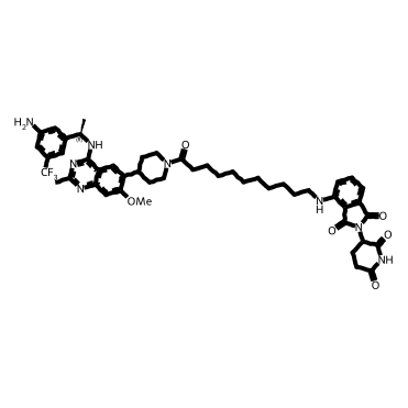 COc1cc2nc(C)nc(N[C@H](C)c3cc(N)cc(C(F)(F)F)c3)c2cc1C1CCN(C(=O)CCCCCCCCCCNc2cccc3c2C(=O)N(C2CCC(=O)NC2=O)C3=O)CC1